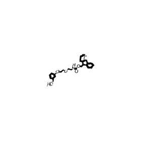 O=C(NCCOCCOc1cccc(CO)c1)OCC1c2ccccc2-c2ccccc21